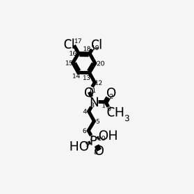 CC(=O)N(CCCP(=O)(O)O)OCc1ccc(Cl)c(Cl)c1